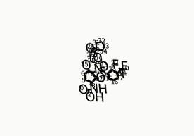 O=C(O)Nc1ccc2c(c1)N(S(=O)(=O)c1cccc(C(F)(F)F)c1)CC(CS(=O)(=O)C1CCCC1)O2